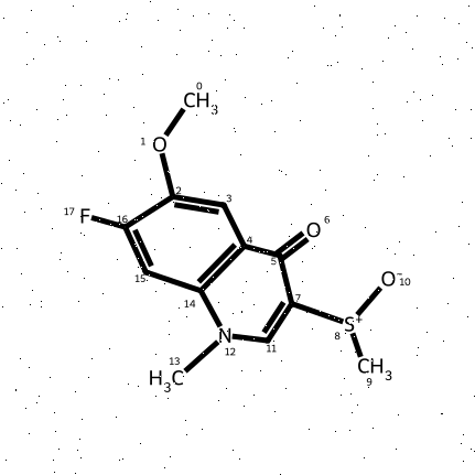 COc1cc2c(=O)c([S+](C)[O-])cn(C)c2cc1F